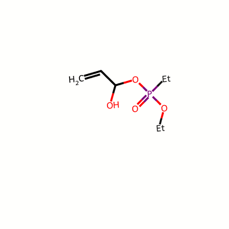 C=CC(O)OP(=O)(CC)OCC